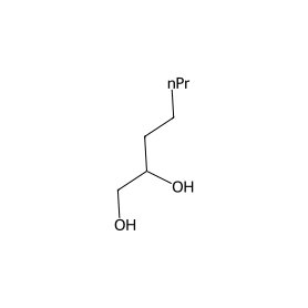 CCCCCC(O)CO